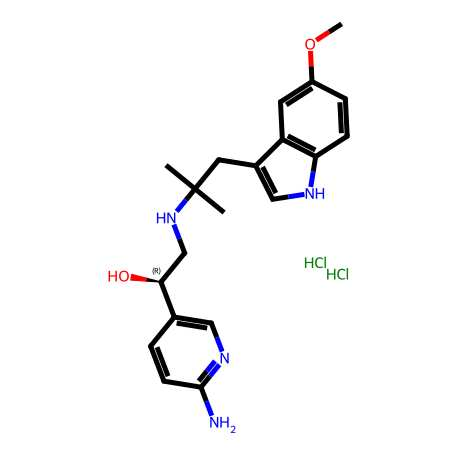 COc1ccc2[nH]cc(CC(C)(C)NC[C@H](O)c3ccc(N)nc3)c2c1.Cl.Cl